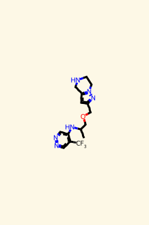 CC(COCc1cc2n(n1)CCNC2)Nc1cnncc1C(F)(F)F